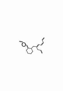 C=C/C=C\C=C(/CC=C)CC1CCCC/C1=C\OC=C